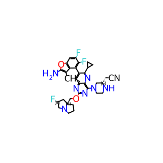 Cc1c(N)oc2cc(F)c(F)c(-c3cc4nc(OC[C@@]56CCCN5C[C@H](F)C6)nc(N5CCN[C@@H](CC#N)C5)c4nc3C3CC3)c12